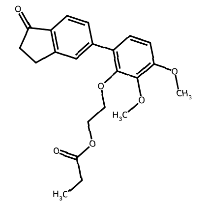 CCC(=O)OCCOc1c(-c2ccc3c(c2)CCC3=O)ccc(OC)c1OC